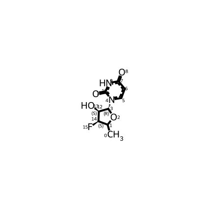 CC1O[C@@H](n2ccc(=O)[nH]c2=O)[C@H](O)[C@@H]1F